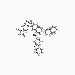 NC(=O)C1=CCC(c2ccc3nc(-c4ccc5ccccc5c4)nc(Nc4ccc5c(c4)Cc4ccccc4-5)c3c2)(C(F)(F)F)C=C1